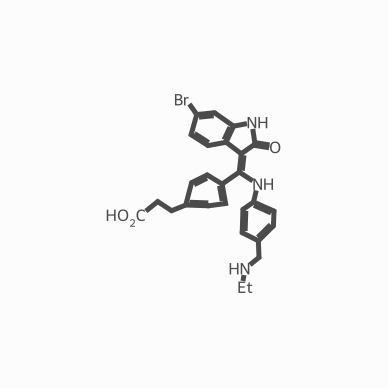 CCNCc1ccc(N/C(=C2\C(=O)Nc3cc(Br)ccc32)c2ccc(CCC(=O)O)cc2)cc1